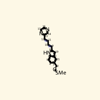 CSOCc1ccc2[nH]c(/C=C/C=C/c3cnccn3)cc2c1